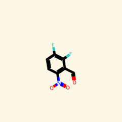 O=Cc1c([N+](=O)[O-])ccc(F)c1F